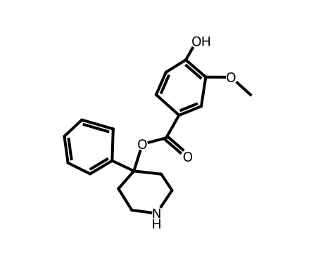 COc1cc(C(=O)OC2(c3ccccc3)CCNCC2)ccc1O